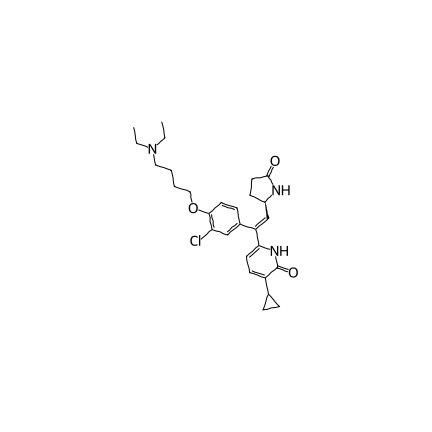 CCN(CC)CCCCOc1ccc(/C(=C\[C@H]2CCC(=O)N2)c2ccc(C3CC3)c(=O)[nH]2)cc1Cl